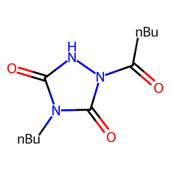 CCCCC(=O)n1[nH]c(=O)n(CCCC)c1=O